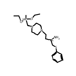 CCO[PH](C)(CN1CCN(CC[C@@H](N)CSc2ccccc2)CC1)OCC